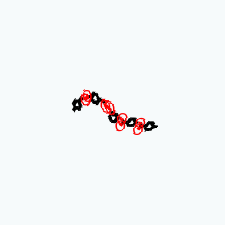 Cc1ccc(COOc2ccc(COOc3cccc(OC(=O)c4ccc(OC(=O)c5ccc(C)cc5)cc4)c3)cc2)cc1